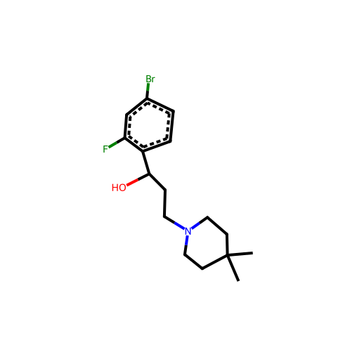 CC1(C)CCN(CCC(O)c2ccc(Br)cc2F)CC1